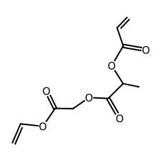 C=COC(=O)COC(=O)C(C)OC(=O)C=C